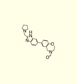 O=CN1CCOc2ccc(-c3ccc4nc(CN5CCCC5)[nH]c4c3)cc2C1